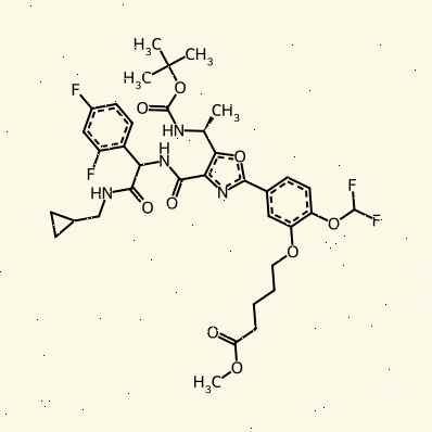 COC(=O)CCCCOc1cc(-c2nc(C(=O)NC(C(=O)NCC3CC3)c3ccc(F)cc3F)c([C@H](C)NC(=O)OC(C)(C)C)o2)ccc1OC(F)F